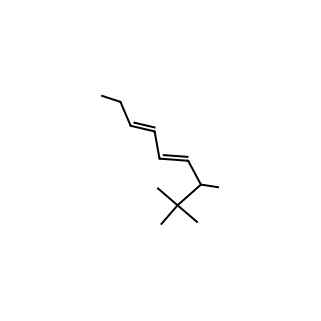 CCC=CC=CC(C)C(C)(C)C